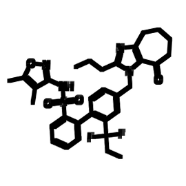 CCCc1nc2c(n1Cc1ccc(-c3ccccc3S(=O)(=O)Nc3noc(C)c3C)c(C(F)(F)CC)c1)C(=O)CCCC2